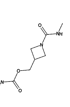 CNC(=O)N1CC(COC(N)=O)C1